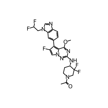 COc1nc(N[C@@H]2CCN(C(C)=O)CC2(F)F)nn2cc(F)c(-c3ccc4ncn(CC(F)F)c4c3)c12